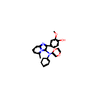 COc1cc(-c2nc3cccc(C)n3c2N(C2=CC=CCC2)C2=COC=CO2)ccc1O